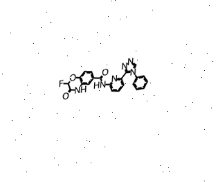 O=C(Nc1cccc(-c2nncn2-c2ccccc2)n1)c1ccc2c(c1)NC(=O)C(F)O2